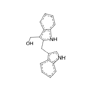 OCc1c(Cc2c[nH]c3ccccc23)[nH]c2ccccc12